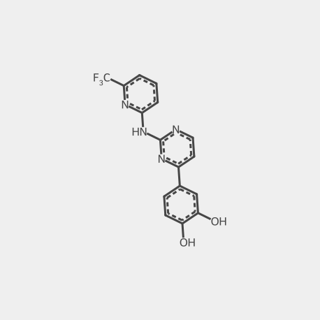 Oc1ccc(-c2ccnc(Nc3cccc(C(F)(F)F)n3)n2)cc1O